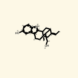 CC=C1C[N+]2(C)C3CC1C(CO)C2Cc1c3[nH]c2ccc(O)cc12